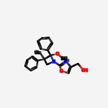 CC(C)(C)C1(c2ccccc2)CN(c2nc(CO)co2)C1(O[SiH3])c1ccccc1